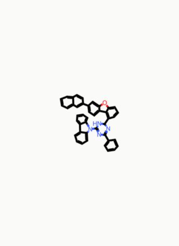 c1ccc(C2=NC(c3cccc4oc5cc(-c6ccc7ccccc7c6)ccc5c34)NC(n3c4ccccc4c4ccccc43)=N2)cc1